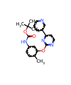 Cc1ccc(NC(=O)OC(C)(C)C)cc1Oc1nccc(-c2cccnc2)n1